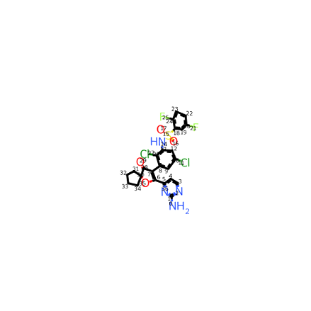 Nc1nccc(C2=C(c3cc(Cl)cc(NS(=O)(=O)c4cc(F)ccc4F)c3Cl)C(=O)C3(CCCC3)O2)n1